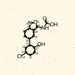 O=C(O)Nc1onc2ccc(-c3cc(Cl)ccc3O)cc12